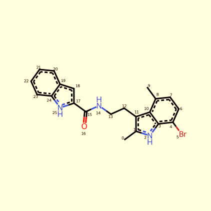 Cc1[nH]c2c(Br)ccc(C)c2c1CCNC(=O)c1cc2ccccc2[nH]1